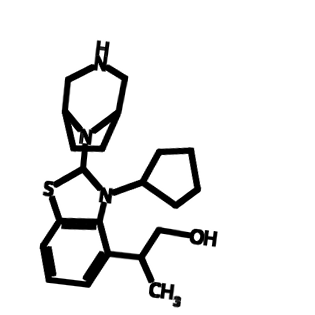 CC(CO)c1cccc2c1N(C1CCCC1)C(N1C3CCC1CNC3)S2